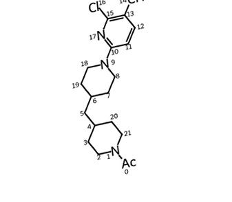 CC(=O)N1CCC(CC2CCN(c3ccc(C=O)c(Cl)n3)CC2)CC1